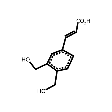 O=C(O)/C=C/c1ccc(CO)c(CO)c1